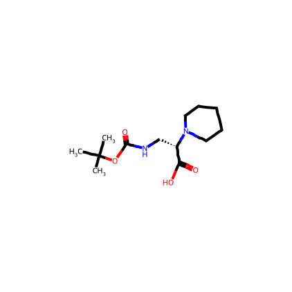 CC(C)(C)OC(=O)NC[C@@H](C(=O)O)N1CCCCC1